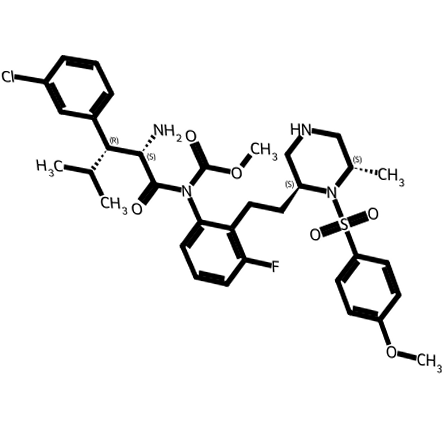 COC(=O)N(C(=O)[C@@H](N)[C@@H](c1cccc(Cl)c1)C(C)C)c1cccc(F)c1CC[C@H]1CNC[C@H](C)N1S(=O)(=O)c1ccc(OC)cc1